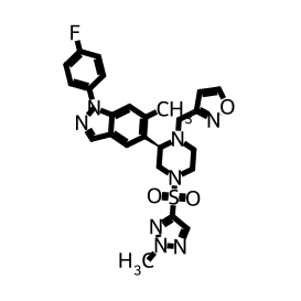 Cc1cc2c(cnn2-c2ccc(F)cc2)cc1[C@@H]1CN(S(=O)(=O)c2cnn(C)n2)CCN1Cc1ccon1